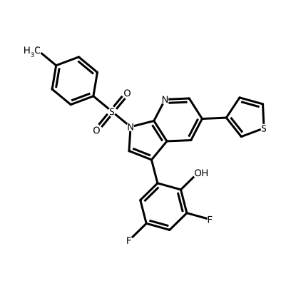 Cc1ccc(S(=O)(=O)n2cc(-c3cc(F)cc(F)c3O)c3cc(-c4ccsc4)cnc32)cc1